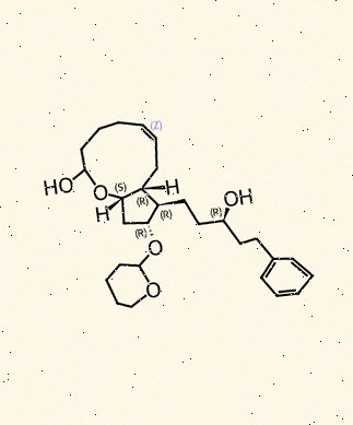 OC1CCC/C=C\C[C@@H]2[C@@H](CC[C@@H](O)CCc3ccccc3)[C@H](OC3CCCCO3)C[C@@H]2O1